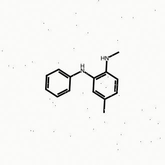 CNc1ccc(C)cc1Nc1ccccc1